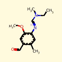 CCN(C)/C=N/c1cc(C)c(C=O)cc1OC